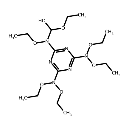 CCOC(O)N(OCC)c1nc(N(OCC)OCC)nc(N(OCC)OCC)n1